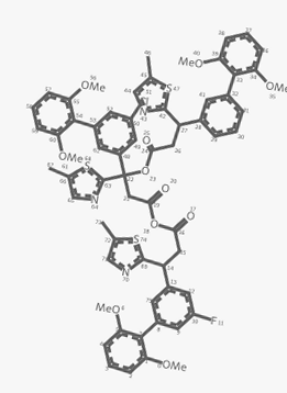 COc1cccc(OC)c1-c1cc(F)cc(C(CC(=O)OC(=O)CC(OC(=O)CC(c2cccc(-c3c(OC)cccc3OC)c2)c2ncc(C)s2)(c2cc(Cl)cc(-c3c(OC)cccc3OC)c2)c2ncc(C)s2)c2ncc(C)s2)c1